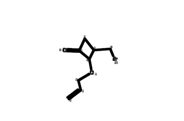 C=CCOC1C(=O)CC1CBr